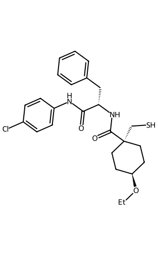 CCO[C@H]1CC[C@@](CS)(C(=O)N[C@@H](Cc2ccccc2)C(=O)Nc2ccc(Cl)cc2)CC1